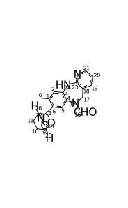 Cc1cc2c(cc1N1C[C@H]3CC[C@@H]1CO3)N(C=O)Cc1cccnc1N2